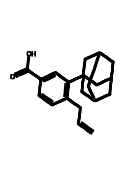 C=CCc1ccc(C(=O)O)cc1C12CC3CC(CC(C3)C1)C2